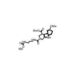 COC(=O)C1CN(C(=O)NCCCNC(=O)OC(C)(C)C)Cc2[nH]c3ccc(OC)cc3c21